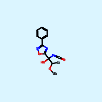 CCC(OC(C)(C)C)[C@@](O)(N=C=O)c1nc(-c2ccccc2)no1